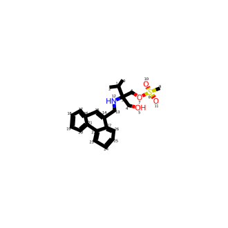 CC(C)C(CO)(COS(C)(=O)=O)NCc1cc2ccccc2c2ccccc12